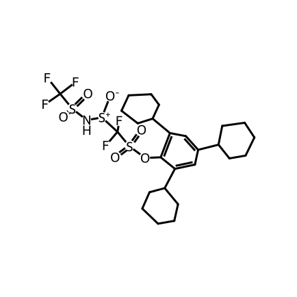 O=S(=O)(N[S+]([O-])C(F)(F)S(=O)(=O)Oc1c(C2CCCCC2)cc(C2CCCCC2)cc1C1CCCCC1)C(F)(F)F